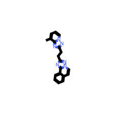 Cc1cccn2nc(CCc3nc4c5ccccc5ccn4n3)nc12